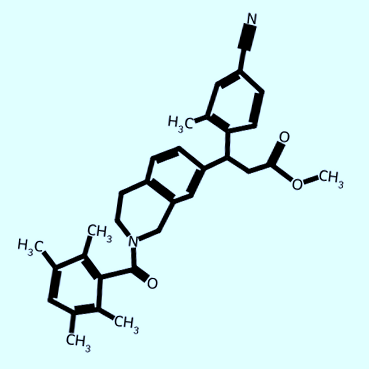 COC(=O)CC(c1ccc2c(c1)CN(C(=O)c1c(C)c(C)cc(C)c1C)CC2)c1ccc(C#N)cc1C